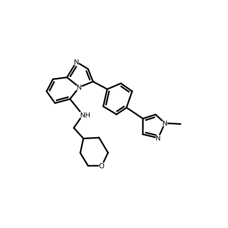 Cn1cc(-c2ccc(-c3cnc4cccc(NCC5CCOCC5)n34)cc2)cn1